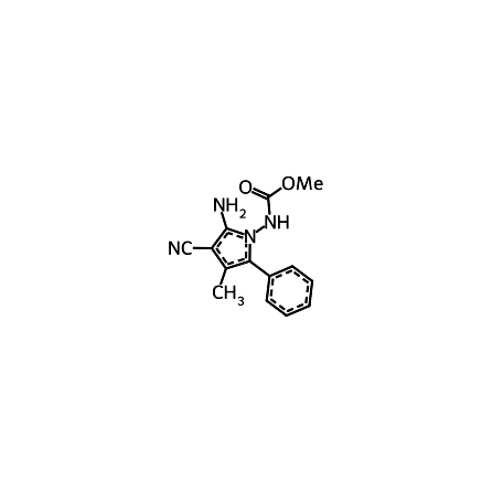 COC(=O)Nn1c(N)c(C#N)c(C)c1-c1ccccc1